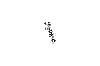 CCCCNc1ccc(NC(=O)[CH]Cc2ccccc2)cc1